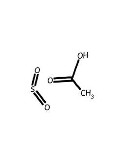 CC(=O)O.O=S=O